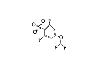 O=S(=O)(Cl)c1c(F)cc(OC(F)F)cc1F